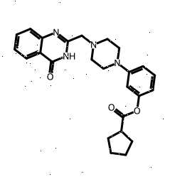 O=C(Oc1cccc(N2CCN(Cc3nc4ccccc4c(=O)[nH]3)CC2)c1)C1CCCC1